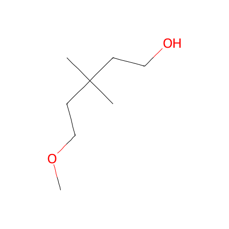 COCCC(C)(C)CCO